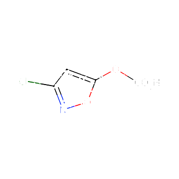 O=C(O)Oc1cc(Cl)no1